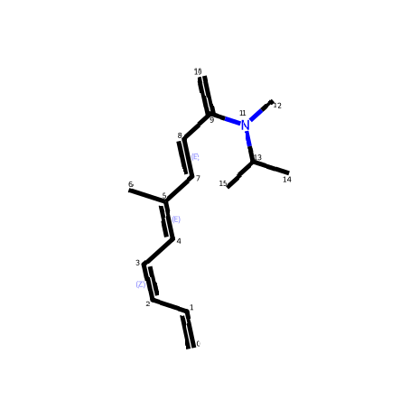 C=C\C=C/C=C(C)/C=C/C(=C)N(C)C(C)C